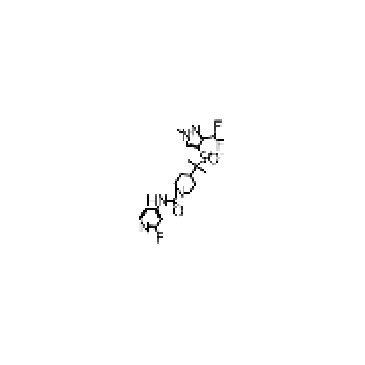 Cn1cc([S+]([O-])C(C)(C)C2CCN(C(=O)Nc3ccnc(F)c3)CC2)c(C(F)F)n1